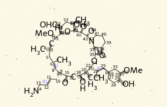 CO[C@H]1C[C@@H](C)C/C(C)=C/[C@@H](C/C=C/CN)C(=O)C[C@H](O)[C@@H](C)[C@@H](/C(C)=C/[C@@H]2CC[C@@H](O)[C@H](OC)C2)OC(=O)[C@@H]2CCCCN2C(=O)C(=O)[C@]2(O)O[C@H]1[C@@H](C=O)C[C@H]2C